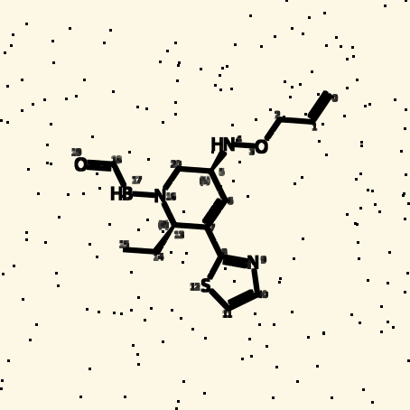 C=CCON[C@H]1C=C(c2nccs2)[C@@H](CC)N(BC=O)C1